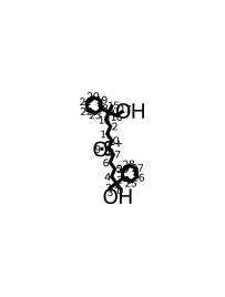 CC(CO)(CCCC[S+]([O-])CCCCC(C)(CO)c1ccccc1)c1ccccc1